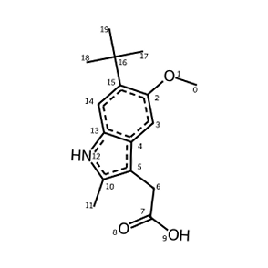 COc1cc2c(CC(=O)O)c(C)[nH]c2cc1C(C)(C)C